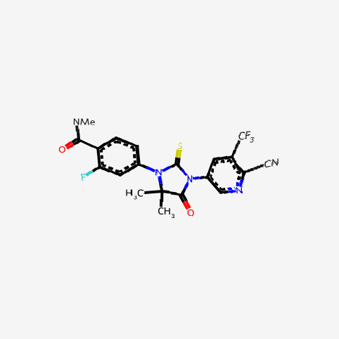 CNC(=O)c1ccc(N2C(=S)N(c3cnc(C#N)c(C(F)(F)F)c3)C(=O)C2(C)C)cc1F